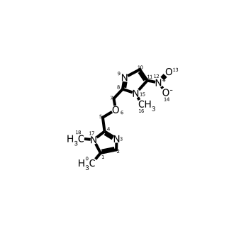 Cc1cnc(COCc2ncc([N+](=O)[O-])n2C)n1C